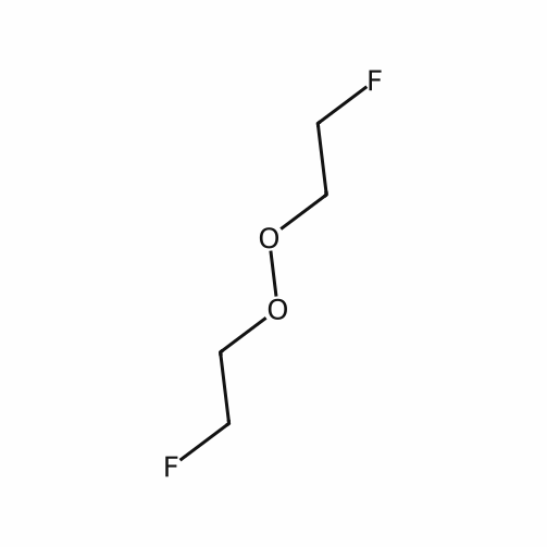 FCCOOCCF